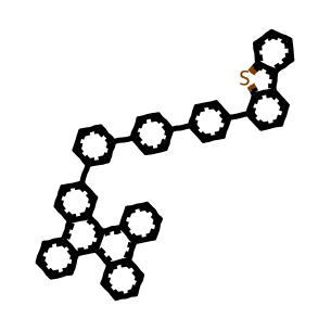 c1cc(-c2ccc(-c3ccc(-c4cccc5c4sc4ccccc45)cc3)cc2)cc(-c2ccc3c4ccccc4c4c5ccccc5c5ccccc5c4c3c2)c1